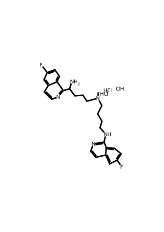 CN(CCCCNc1nccc2cc(F)ccc12)CCCC(N)c1nccc2cc(F)ccc12.Cl.Cl.Cl